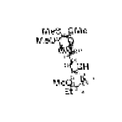 CC[C@H](OC)[C@@H](C)[C@@H]1[C@@H](C)[C@H]1[C@H](O)[C@H](C)/C=C/C=C(\C)[C@@H]1O[C@H](OC)[C@H](OC)[C@@H](OC)[C@@H]1OC